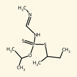 CCC(C)SP(=S)(NC=NC)OC(C)C